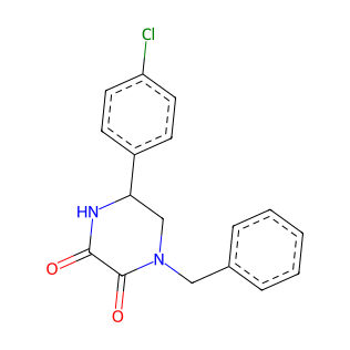 O=C1NC(c2ccc(Cl)cc2)CN(Cc2ccccc2)C1=O